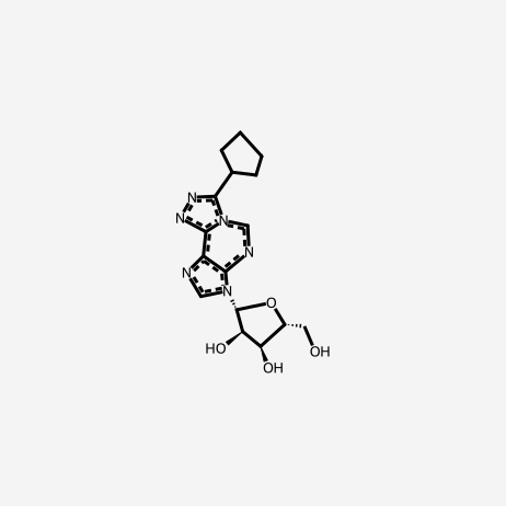 OC[C@H]1O[C@@H](n2cnc3c2ncn2c(C4CCCC4)nnc32)[C@H](O)[C@@H]1O